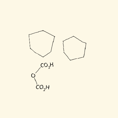 C1CCCCC1.C1CCCCC1.O=C(O)OC(=O)O